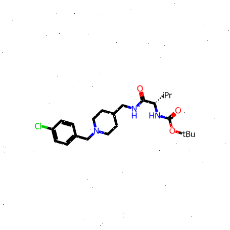 CC(C)[C@H](NC(=O)OC(C)(C)C)C(=O)NCC1CCN(Cc2ccc(Cl)cc2)CC1